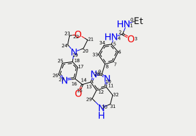 CCNC(=O)Nc1ccc(-c2nc3c(c(C(=O)c4cc(N5CCOCC5)ccn4)n2)CNCC3)cc1